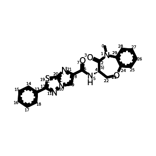 CN1C(=O)[C@@H](NC(=O)c2cn3nc(-c4ccccc4)sc3n2)COc2ccccc21